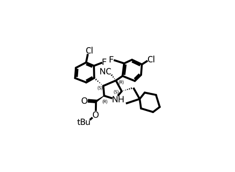 CC1(C[C@@H]2N[C@@H](C(=O)OC(C)(C)C)[C@H](c3cccc(Cl)c3F)[C@@]2(C#N)c2ccc(Cl)cc2F)CCCCC1